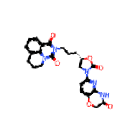 O=C1COc2ccc(N3C[C@H](CCCn4c(=O)c5cccc6c5n(c4=O)CCC6)OC3=O)nc2N1